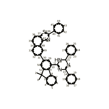 CC1(C)c2ccccc2-c2c(C3=NC(c4ccccc4)=NC(c4ccccc4)N3)cc(-c3ccc4ccc5sc(-c6ccccc6)nc5c4c3)cc21